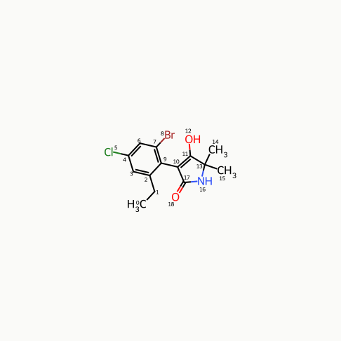 CCc1cc(Cl)cc(Br)c1C1=C(O)C(C)(C)NC1=O